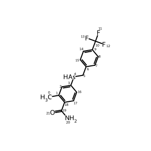 Cc1cc([AsH]Cc2ccc(C(F)(F)F)cc2)ccc1C(N)=O